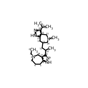 CCN1CCCc2[nH]nc(C(C)CC3Cc4[nH]nc(C(C)C)c4CN(C)C3)c2C1